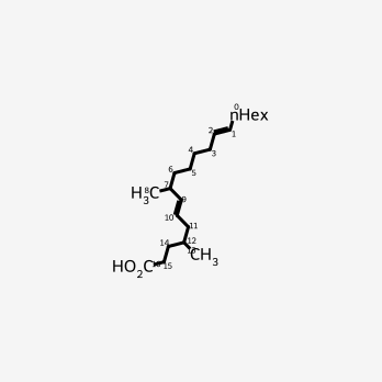 CCCCCC/C=C/CCCCC(C)/C=C/CC(C)CCC(=O)O